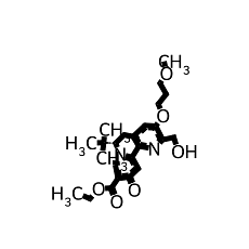 CCOC(=O)c1cn2c(cc1=O)-c1nc(CO)c(OCCCOC)cc1C[C@H]2C(C)(C)C